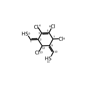 SC=C1C(Cl)=C(Cl)C(Cl)C(=CS)C1Cl